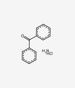 Cl.N.O=C(c1ccccc1)c1ccccc1